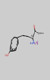 COC(=O)[C@H](Cc1ccc(O)cc1)N[125I]